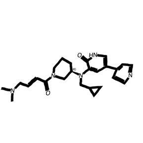 CN(C)CC=CC(=O)N1CCC[C@@H](N(CC2CC2)c2cc(-c3ccncc3)c[nH]c2=O)C1